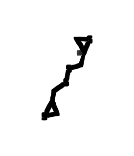 C(SSC[C@H]1CS1)C1CS1